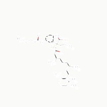 CCCCC(=O)Oc1cccc(C(CCC)(NC(=O)C=C(C)C=CC=C(C)C=CC2=C(C)CCCC2(C)C)C(=O)O)c1